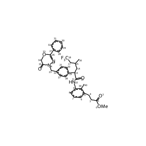 COC(=O)CCc1cccc(NC(=O)C(CC(C)CC(F)(F)F)c2ccc(CN3N=C(c4ccccc4)OCC3=O)cc2)c1C